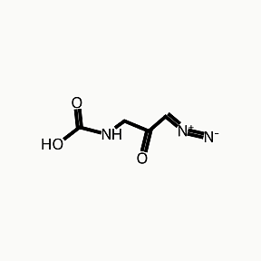 [N-]=[N+]=CC(=O)CNC(=O)O